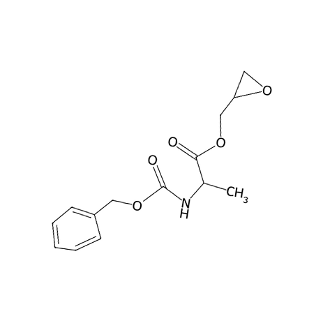 CC(NC(=O)OCc1ccccc1)C(=O)OCC1CO1